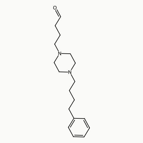 O=CCCCN1CCN(CCCCc2ccccc2)CC1